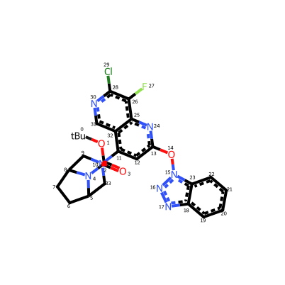 CC(C)(C)OC(=O)N1C2CCC1CN(c1cc(On3nnc4ccccc43)nc3c(F)c(Cl)ncc13)C2